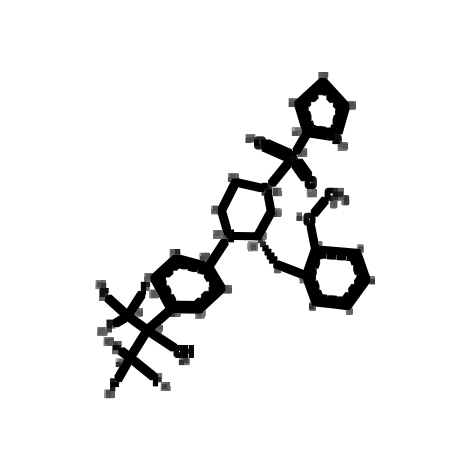 COc1ccccc1C[C@H]1CN(S(=O)(=O)c2cccs2)CCN1c1ccc(C(O)(C(F)(F)F)C(F)(F)F)cc1